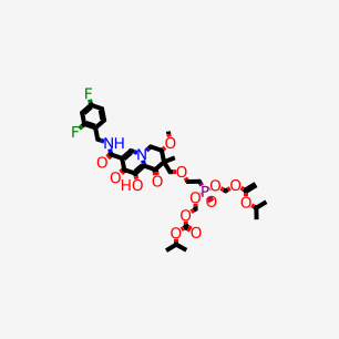 C=C(OCOP(=O)(CCOCC1(C)C(=O)c2c(O)c(=O)c(C(=O)NCc3ccc(F)cc3F)cn2CC1OC)OCOC(=O)OC(C)C)OC(C)C